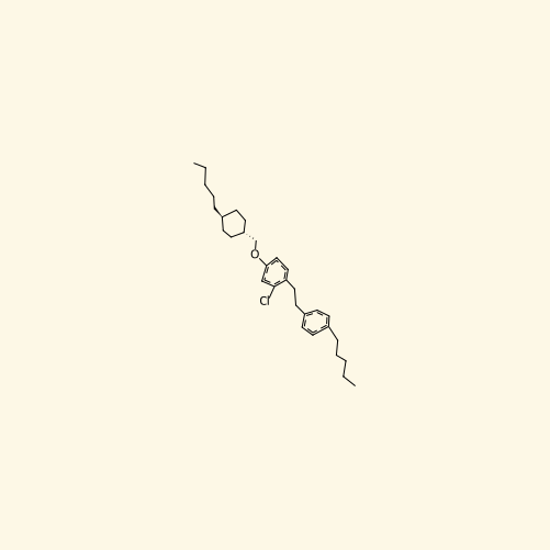 CCCCCc1ccc(CCc2ccc(OC[C@H]3CC[C@H](CCCCC)CC3)cc2Cl)cc1